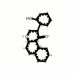 O=c1c(-c2ccccc2O)coc2ccc3ccccc3c12